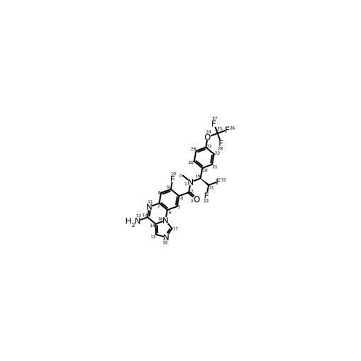 CN(C(=O)c1cc2c(cc1F)nc(N)c1cncn12)[C@@H](c1ccc(OC(F)(F)F)cc1)C(F)F